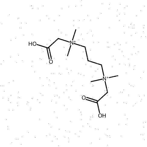 C[N+](C)(CCC[N+](C)(C)CC(=O)O)CC(=O)O